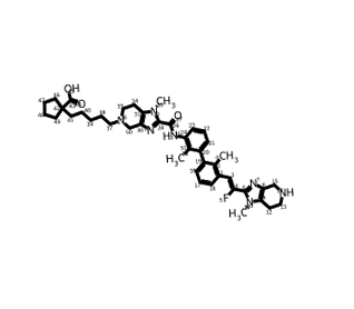 Cc1c(/C=C(\F)c2nc3c(n2C)CCNC3)cccc1-c1cccc(NC(=O)c2nc3c(n2C)CCN(CCCCCC2(C(=O)O)CCCC2)C3)c1C